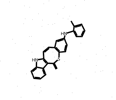 C=C1Sc2ccc(Nc3ccccc3C)cc2/C=C\c2[nH]c3ccccc3c21